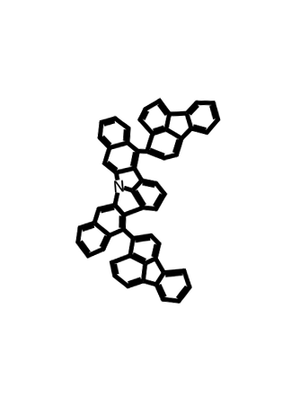 c1ccc2c(c1)-c1cccc3c(-c4c5ccccc5cc5c4c4cccc6c7c(-c8ccc9c%10c(cccc8%10)-c8ccccc8-9)c8ccccc8cc7n5c46)ccc-2c13